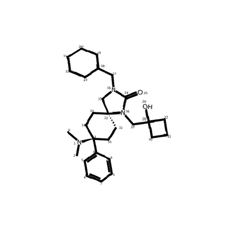 CN(C)[C@]1(c2ccccc2)CC[C@]2(CC1)CN(CC1CCCCC1)C(=O)N2CC1(O)CCC1